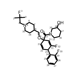 CC(C)(F)CN1CCC(COC2(C(=O)N3CCCC(O)C3)C=CC(c3ccccc3F)C(F)=C2)CC1